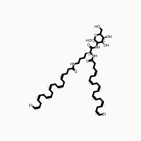 CC/C=C\C/C=C\C/C=C\C/C=C\C/C=C\C/C=C\CCC(=O)NCCCC[C@H](NC(=O)CC/C=C\C/C=C\C/C=C\C/C=C\C/C=C\C/C=C\CC)C(=O)NC1[C@H](O)OC(CO)[C@@H](O)[C@H]1O